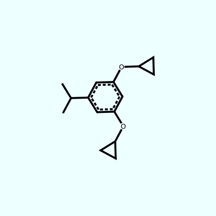 CC(C)c1cc(OC2CC2)cc(OC2CC2)c1